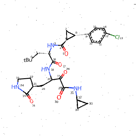 CC(C)(C)C[C@H](NC(=O)[C@H]1C[C@@H]1c1ccc(Cl)cc1)C(=O)NC(C[C@@H]1CCNC1=O)C(=O)C(=O)NC1CC1